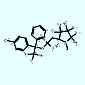 [2H]C([2H])(C[C@]1([2H])N(C)C([2H])([2H])C([2H])([2H])C1([2H])[2H])O[C@](c1ccccc1)(c1ccc(Cl)cc1)C([2H])([2H])[2H]